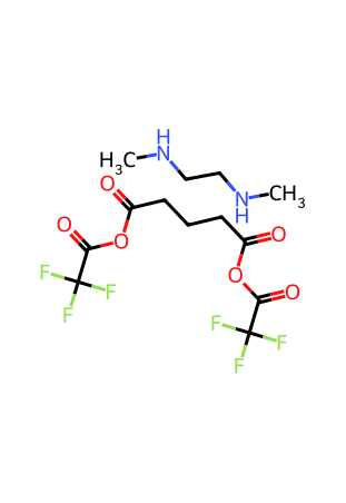 CNCCNC.O=C(CCCC(=O)OC(=O)C(F)(F)F)OC(=O)C(F)(F)F